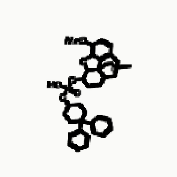 COc1ccc2c3c1OC1C(OP(=O)(O)OC4CCC(c5ccccc5)(c5ccccc5)CC4)C=CC4C(C2)N(C)CCC341